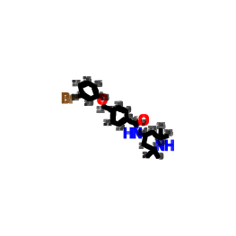 CC1(C)CC(NC(=O)c2ccc(COc3cccc(Br)c3)cc2)CC(C)(C)N1